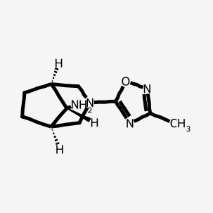 Cc1noc(N2C[C@H]3CC[C@@H](C2)[C@@H]3N)n1